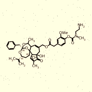 C=C(C)[C@H]1C[C@@H](C)C23O[C@](Cc4ccccc4)(OC(C)C2C=C(COC(=O)Cc2ccc(OC(=O)N(C)CCN)c(OC)c2)CC2(O)C(=O)C(C)=CC23)O1